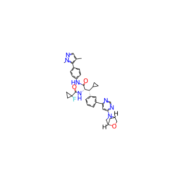 Cc1cnn(C)c1-c1ccc(NC(=O)[C@@H](NC(=O)C2(F)CC2)[C@@H](c2cccc(-c3cc(N4C[C@@H]5C[C@H]4CO5)ncn3)c2)C2CC2)cc1